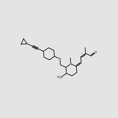 C/C(C=O)=C/C=C1/CCC(N)C(COC2CCC(C#CC3CC3)CC2)N1C